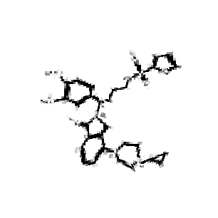 COc1ccc([C@@H](CCCNS(=O)(=O)c2cccs2)N2Cc3c(cccc3N3CCN(C4CC4)CC3)C2=O)cc1OC